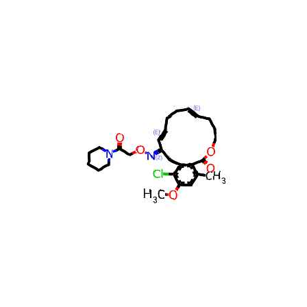 COc1cc(C)c2c(c1Cl)CC(=N/OCC(=O)N1CCCCC1)/C=C/CC/C=C/CCCOC2=O